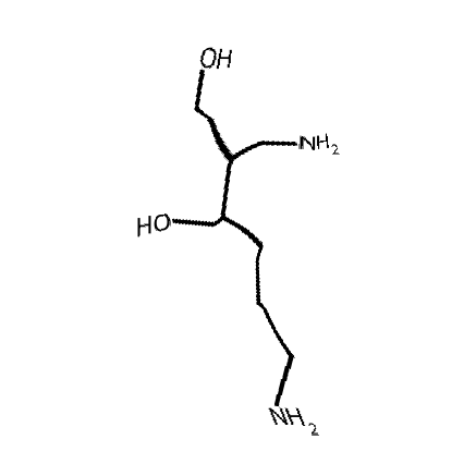 NCCCC(O)C(N)CO